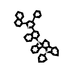 c1ccc(-c2cc(-c3cccc4ccccc34)nc(-c3ccc(-n4c5ccccc5c5c4ccc4c6ccccc6n(-c6ccccc6)c45)c4ccccc34)c2)cc1